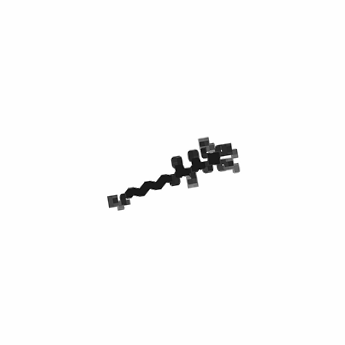 CCCCCCOC(=O)NC(=O)OC(C)(C)C